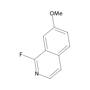 COc1ccc2ccnc(F)c2c1